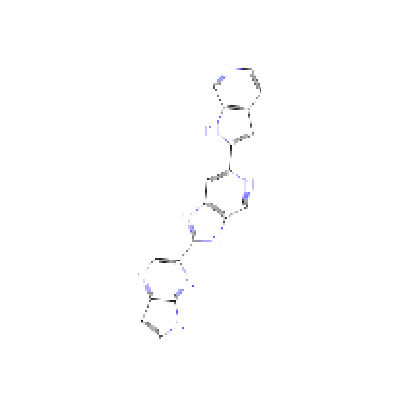 c1cc2cc(-c3cc4nc(-c5cnc6cc[nH]c6n5)[nH]c4cn3)[nH]c2cn1